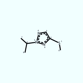 CSc1cnn(C(C)C)n1